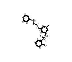 Cc1cc(NS(=O)(=O)c2ccccc2[O])cc(OCCNc2ccncc2)c1